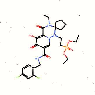 CCOP(=O)(CCN1n2cc(C(=O)NCc3ccc(F)cc3F)c(=O)c(O)c2C(=O)N(CC)C12CCCC2)OCC